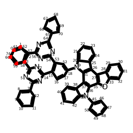 c1ccc(-c2nc(-c3ccccc3)nc(-c3ccc(-n4c5ccccc5c5c6c7ccccc7oc6c6c(c7ccccc7n6-c6ccccc6)c54)cc3-c3nc(-c4ccccc4)nc(-c4ccccc4)n3)n2)cc1